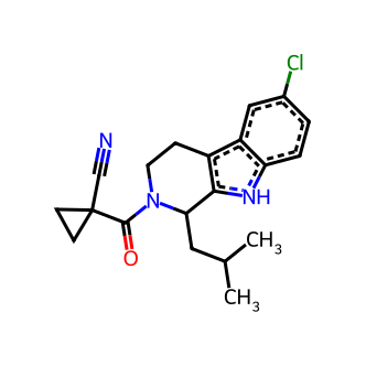 CC(C)CC1c2[nH]c3ccc(Cl)cc3c2CCN1C(=O)C1(C#N)CC1